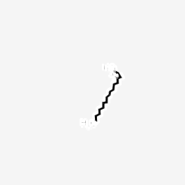 CCCCCCCCCCCCCCC1CCC(O)[N]1